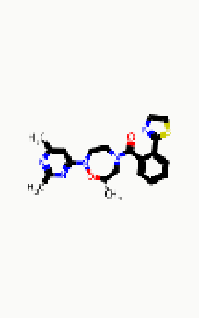 Cc1cc(N2CCN(C(=O)c3ccccc3-c3nccs3)C[C@H](C)O2)nc(C)n1